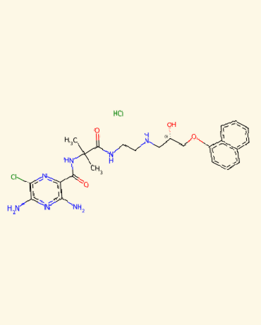 CC(C)(NC(=O)c1nc(Cl)c(N)nc1N)C(=O)NCCNC[C@H](O)COc1cccc2ccccc12.Cl